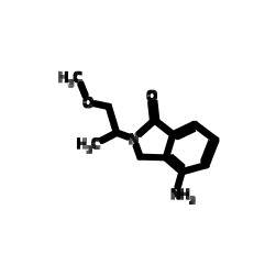 COCC(C)N1Cc2c(N)cccc2C1=O